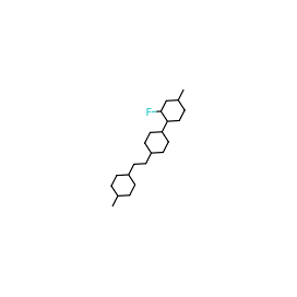 CC1CCC(CCC2CCC(C3CCC(C)CC3F)CC2)CC1